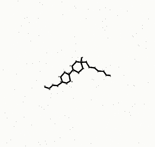 CCCCCCCC1(C)CCC(C2CCC(CCCC)CC2)CC1